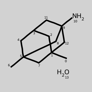 CC12CC3CC(C)(C1)CC(N)(C3)C2.O